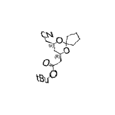 CC(C)(C)OC(=O)C[C@H]1C[C@@H](CC#N)OC2(CCCC2)O1